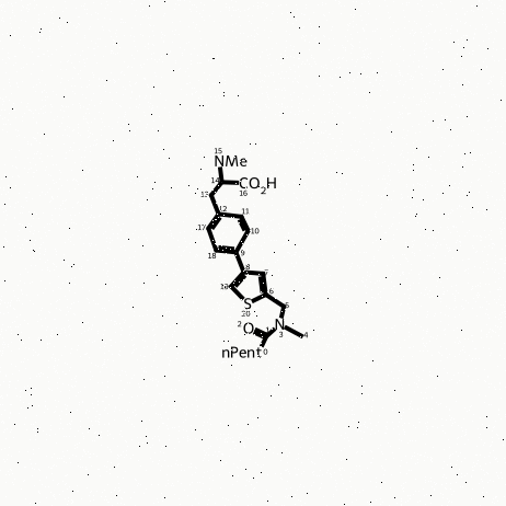 CCCCCC(=O)N(C)Cc1cc(-c2ccc(CC(NC)C(=O)O)cc2)cs1